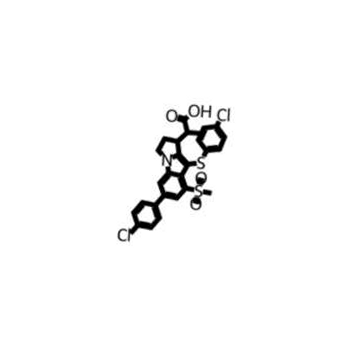 CC(C(=O)O)C1CCn2c1c(Sc1ccc(Cl)cc1)c1c(S(C)(=O)=O)cc(-c3ccc(Cl)cc3)cc12